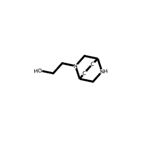 OCCN1CC2CCC1CN2